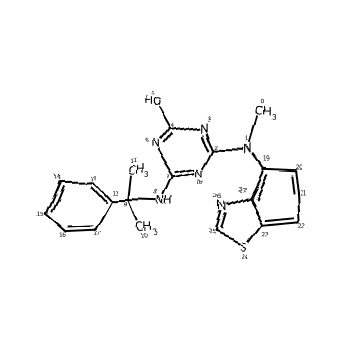 CN(c1nc(O)nc(NC(C)(C)c2ccccc2)n1)c1cccc2scnc12